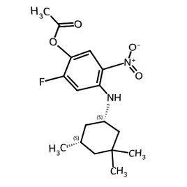 CC(=O)Oc1cc([N+](=O)[O-])c(N[C@H]2C[C@@H](C)CC(C)(C)C2)cc1F